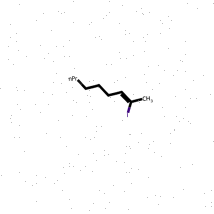 CCCCCC/C=C(/C)I